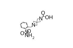 NS(=O)(=O)c1ccccc1CN1CC2(C1)CN(C(=O)O)C2